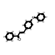 O=C(C=Cc1ccc(Sc2ccccc2)cc1)c1ccccc1